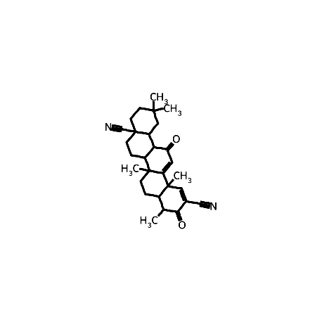 CC1C(=O)C(C#N)=CC2(C)C3=CC(=O)C4C5CC(C)(C)CCC5(C#N)CCC4C3(C)CCC12